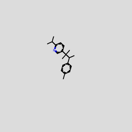 Cc1ccc(C(C)C(C)(C)c2ccc(C(C)C)nc2)cc1